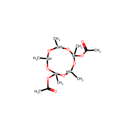 CC(=O)O[Si]1(C)O[SiH](C)O[SiH](C)O[Si](C)(OC(C)=O)O[SiH](C)O1